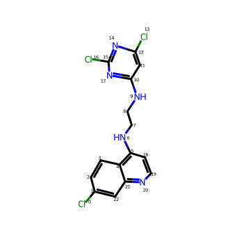 Clc1ccc2c(NCCNc3cc(Cl)nc(Cl)n3)ccnc2c1